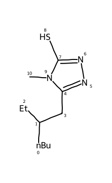 CCCCC(CC)Cc1nnc(S)n1C